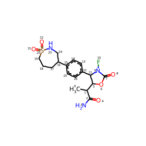 CC(C(N)=O)C1OC(=O)N(F)C1c1ccc(C2CCCS(=O)(=O)NC2)cc1